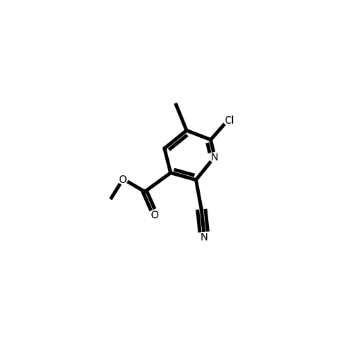 COC(=O)c1cc(C)c(Cl)nc1C#N